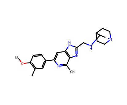 CCOc1ccc(-c2cc3[nH]c(CNC4CN5CCC4CC5)nc3c(C#N)n2)cc1C